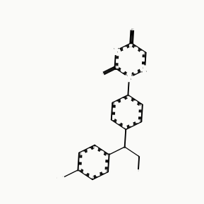 O=c1cnn(-c2ccc(C(CCl)c3ccc(Cl)cc3)cc2)c(=O)[nH]1